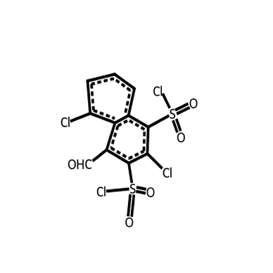 O=Cc1c(S(=O)(=O)Cl)c(Cl)c(S(=O)(=O)Cl)c2cccc(Cl)c12